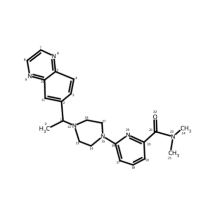 CC(c1ccc2nccnc2c1)N1CCN(c2cccc(C(=O)N(C)C)n2)CC1